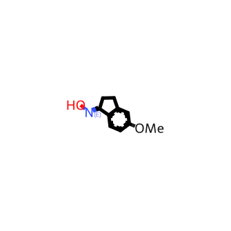 COc1ccc2c(c1)CC/C2=N\O